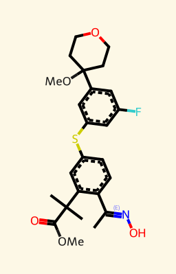 COC(=O)C(C)(C)c1cc(Sc2cc(F)cc(C3(OC)CCOCC3)c2)ccc1/C(C)=N/O